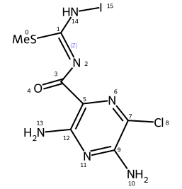 CS/C(=N\C(=O)c1nc(Cl)c(N)nc1N)NI